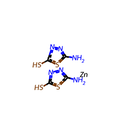 Nc1nnc(S)s1.Nc1nnc(S)s1.[Zn]